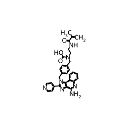 C=C(C)C(=O)NCCN(Cc1ccc(Cn2c(-c3ccncc3)nc3c(N)nc4ccccc4c32)cc1)C(=O)O